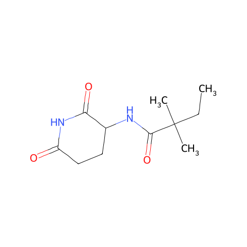 CCC(C)(C)C(=O)NC1CCC(=O)NC1=O